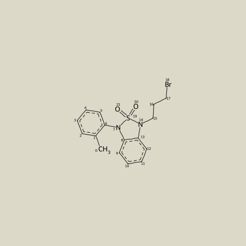 Cc1ccccc1N1c2ccccc2N(CCCBr)S1(=O)=O